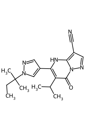 CCC(C)(C)n1cc(-c2[nH]c3c(C#N)cnn3c(=O)c2C(C)C)cn1